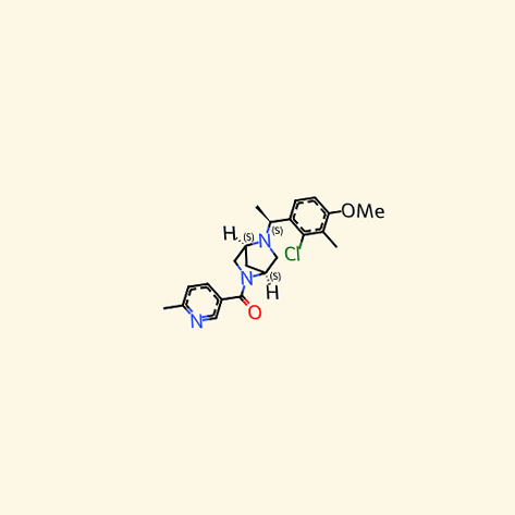 COc1ccc([C@H](C)N2C[C@@H]3C[C@H]2CN3C(=O)c2ccc(C)nc2)c(Cl)c1C